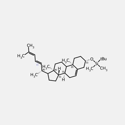 CC(C)=C/C=C/[C@@H](C)C1CC[C@H]2[C@@H]3CC=C4C[C@@H](O[Si](C)(C)C(C)(C)C)CC[C@]4(C)C3CC[C@]12C